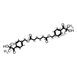 CC(C)(O)C(=O)c1ccc(COC(=O)CCCCC(=O)OCc2ccc(C(=O)C(C)(C)O)cc2)cc1